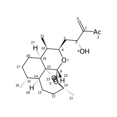 C=C(C(C)=O)[C@H](O)C[C@H]1O[C@@H]2O[C@]3(C)CC[C@H]4[C@H](C)CC[C@@H]([C@H]1C)[C@@]24OO3